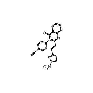 C#Cc1ccc(-n2c(C=Cc3ccc([N+](=O)[O-])s3)nc3ncccc3c2=O)cc1